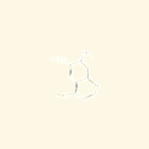 CCOC(=O)c1cc2c(OC)cccc2cc1N